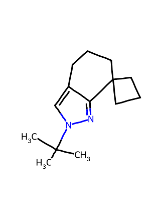 CC(C)(C)n1cc2c(n1)C1(CCC2)CCC1